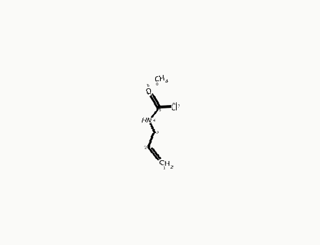 C.C=CCNC(=O)Cl